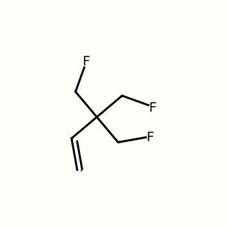 [CH]=CC(CF)(CF)CF